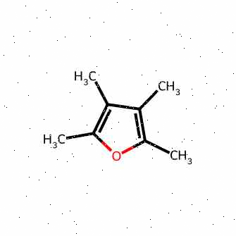 Cc1oc(C)c(C)c1C